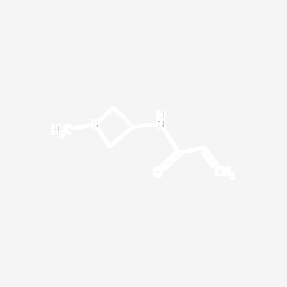 C=CC(=O)NC1CN(C)C1